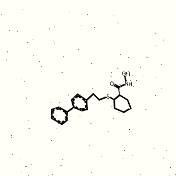 O=C(NO)[C@H]1CCCCC1SCCc1ccc(-c2ccccc2)cc1